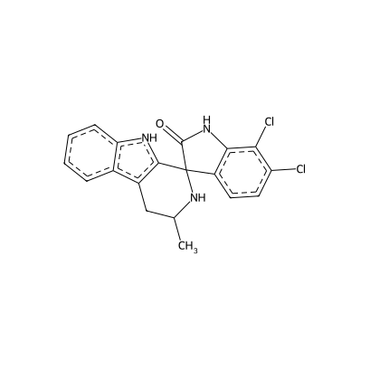 CC1Cc2c([nH]c3ccccc23)C2(N1)C(=O)Nc1c2ccc(Cl)c1Cl